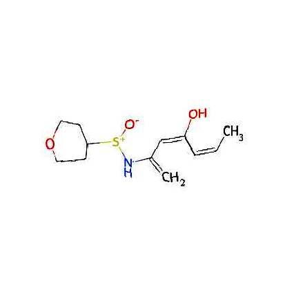 C=C(/C=C(O)\C=C/C)N[S+]([O-])C1CCOCC1